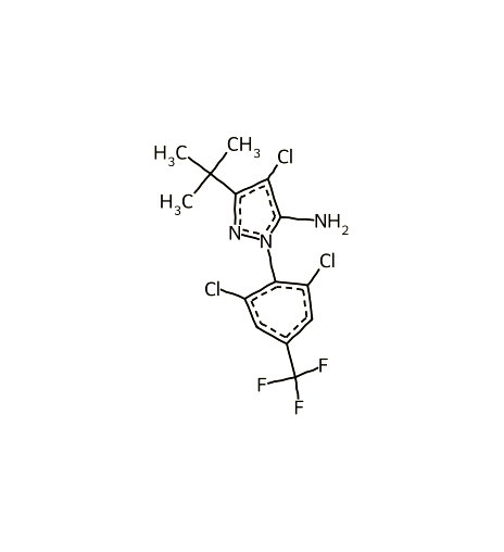 CC(C)(C)c1nn(-c2c(Cl)cc(C(F)(F)F)cc2Cl)c(N)c1Cl